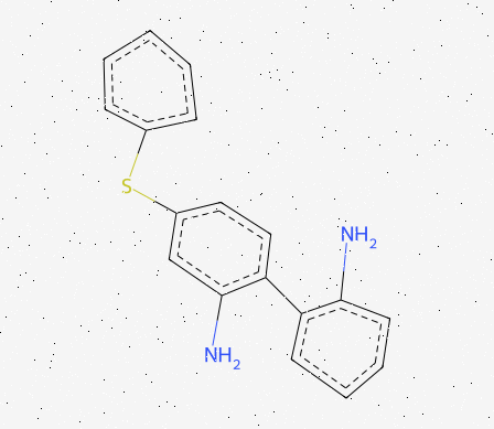 Nc1ccccc1-c1ccc(Sc2ccccc2)cc1N